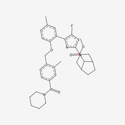 COC(=O)C1C2CCC1CN(c1nc(-c3cc(C)ccc3OCc3ccc(C(=O)N4CCCCC4)cc3C)c(F)s1)C2